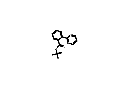 CC(C)(C)OC(=O)c1ccccc1-c1ncccn1